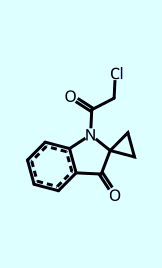 O=C(CCl)N1c2ccccc2C(=O)C12CC2